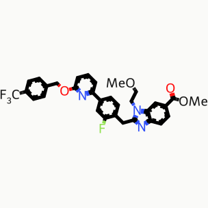 COCCn1c(Cc2ccc(-c3cccc(OCc4ccc(C(F)(F)F)cc4)n3)cc2F)nc2ccc(C(=O)OC)cc21